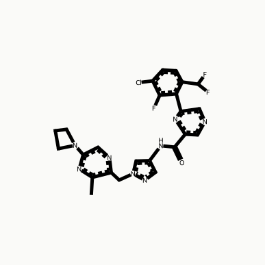 Cc1nc(N2CCC2)cnc1Cn1cc(NC(=O)c2cncc(-c3c(C(F)F)ccc(Cl)c3F)n2)cn1